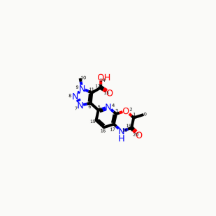 CC1Oc2nc(-c3nnn(C)c3C(=O)O)ccc2NC1=O